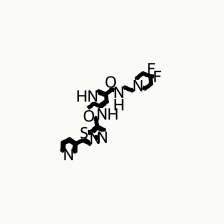 CC1NC=C(C(=O)NCCN2CCC(F)(F)CC2)C=C1NC(=O)c1cnn2cc(-c3cccnc3)sc12